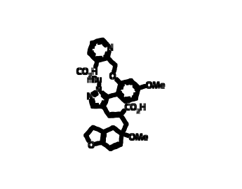 CCCCn1ncc(C=C(CC2(OC)C=CC3=C(CCO3)C2)C(=O)O)c1-c1ccc(OC)cc1OCc1ncccc1C(=O)O